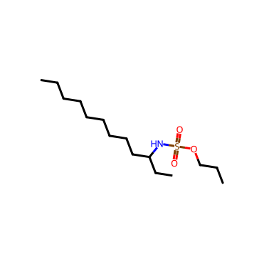 CCCCCCCCCC(CC)NS(=O)(=O)OCCC